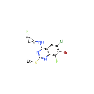 CCSc1nc(N[C@H]2C[C@@H]2F)c2cc(Cl)c(Br)c(F)c2n1